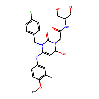 CC(C)Oc1ccc(NC2=CC(O)N(CC(=O)NC(CO)CO)C(=O)N2Cc2ccc(Cl)cc2)cc1F